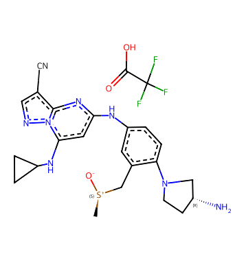 C[S@@+]([O-])Cc1cc(Nc2cc(NC3CC3)n3ncc(C#N)c3n2)ccc1N1CC[C@@H](N)C1.O=C(O)C(F)(F)F